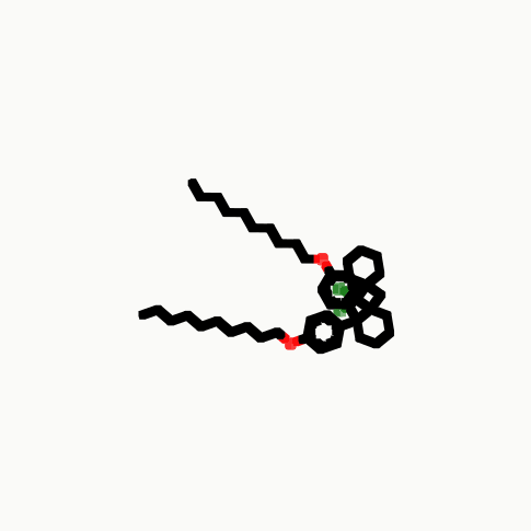 CCCCCCCCCCOc1ccc(C2(c3ccc(OCCCCCCCCCC)cc3)CCCCC23CC2(CCCCC2)C3(Cl)Cl)cc1